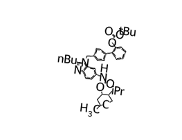 CCCCc1nc2ccc(NC(=O)OC3CC(C)CCC3C(C)C)cc2n1Cc1ccc(-c2ccccc2OC(=O)OC(C)(C)C)cc1